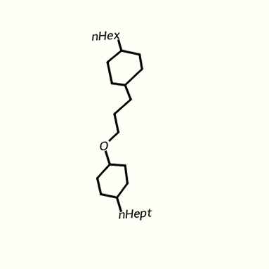 CCCCCCCC1CCC(OCCCC2CCC(CCCCCC)CC2)CC1